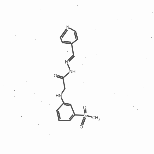 CS(=O)(=O)c1cccc(NCC(=O)N/N=C/c2ccncc2)c1